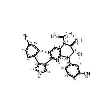 CC[C@H]1C(=N)N(C(C)=N)c2cnc(-c3cnsc3-c3ccc(F)cc3)nc2N1c1cccc(C#N)c1